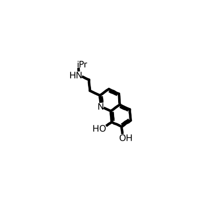 CC(C)NCCc1ccc2ccc(O)c(O)c2n1